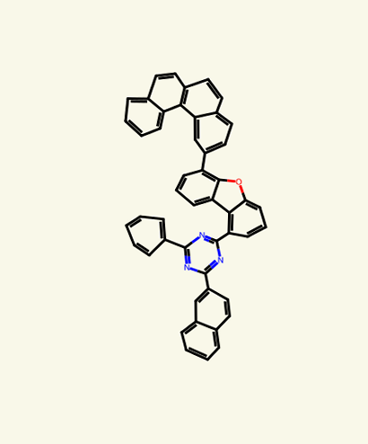 c1ccc(-c2nc(-c3ccc4ccccc4c3)nc(-c3cccc4oc5c(-c6ccc7ccc8ccc9ccccc9c8c7c6)cccc5c34)n2)cc1